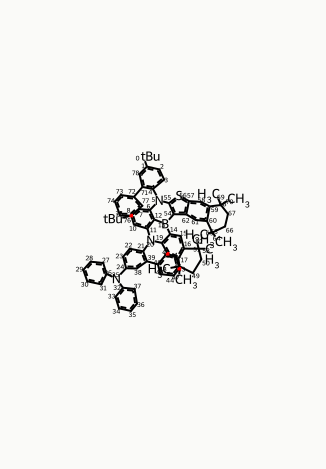 CC(C)(C)c1ccc(N2c3cc(C(C)(C)C)cc4c3B(c3cc5c(cc3N4c3ccc(N(c4ccccc4)c4ccccc4)cc3-c3ccccc3)C(C)(C)CCC5(C)C)c3c2sc2cc4c(cc32)C(C)(C)CCC4(C)C)c(-c2ccccc2)c1